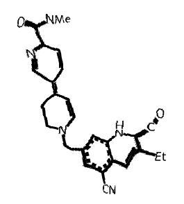 CCC1=Cc2c(C#N)cc(CN3C=CC(=C4C=CC(C(=O)NC)N=C4)CC3)cc2NC1=C=O